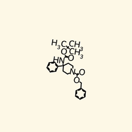 CC(C)(C)OC(=O)NC1(c2ccccc2)CCN(C(=O)OCc2ccccc2)CC1